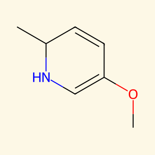 COC1=CNC(C)C=C1